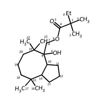 CCC(C)(C)C(=O)OCC1(O)C2CCCC2C(C)(C)CCCC1(C)C